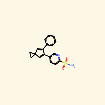 NS(=O)(=O)c1ccc(C2=CC3(C=C2c2ccccc2)CC3)cn1